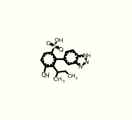 CCC(C)c1c(O)ccc(S(=O)(=O)O)c1-c1ccc2[nH]nnc2c1